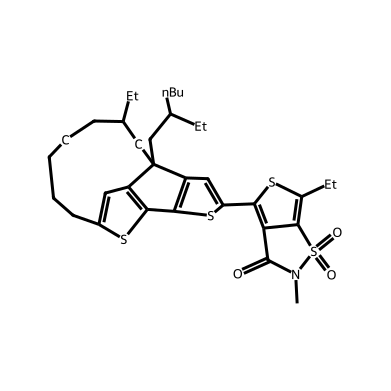 CCCCC(CC)CC12CC(CC)CCCCCc3cc1c(s3)-c1sc(-c3sc(CC)c4c3C(=O)N(C)S4(=O)=O)cc12